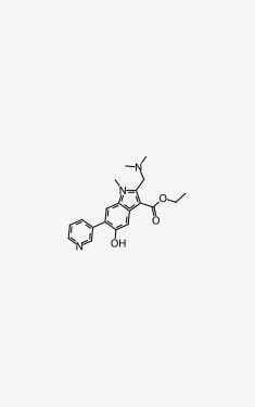 CCOC(=O)c1c(CN(C)C)n(C)c2cc(-c3cccnc3)c(O)cc12